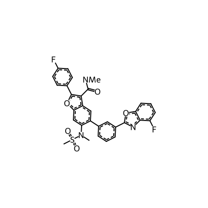 CNC(=O)c1c(-c2ccc(F)cc2)oc2cc(N(C)S(C)(=O)=O)c(-c3cccc(-c4nc5c(F)cccc5o4)c3)cc12